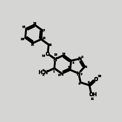 NC1N=c2c(ncn2CC(=O)O)=CN1OCc1ccccc1